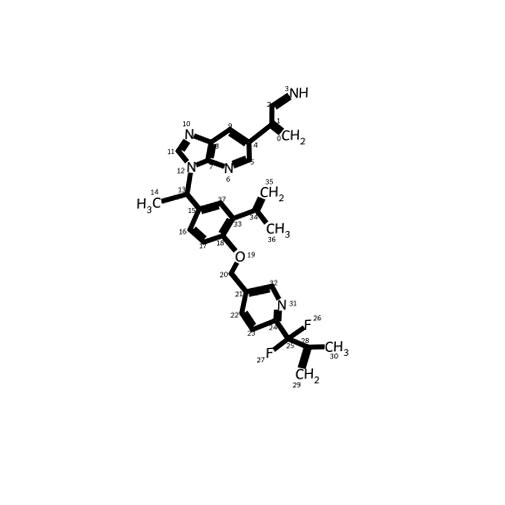 C=C(C=N)c1cnc2c(c1)ncn2C(C)c1ccc(OCc2ccc(C(F)(F)C(=C)C)nc2)c(C(=C)C)c1